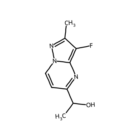 Cc1nn2ccc(C(C)O)nc2c1F